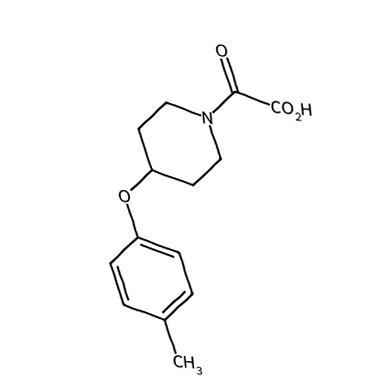 Cc1ccc(OC2CCN(C(=O)C(=O)O)CC2)cc1